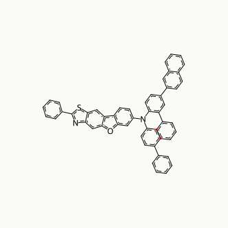 c1ccc(-c2ccc(N(c3ccc4c(c3)oc3cc5nc(-c6ccccc6)sc5cc34)c3ccc(-c4ccc5ccccc5c4)cc3-c3ccccc3)cc2)cc1